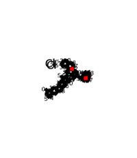 CC1=CC(C)(C)c2cc3c(cc21)-c1cc2c(cc1C3)C(C)(C)[C]([Zr+2](=[CH]c1cccc3ccccc13)[C]1=C(C)C(CC34CC5CC(CC(C5)C3)C4)=CC1C)=C2C.[Cl-].[Cl-]